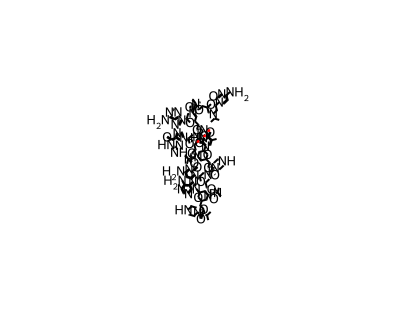 Cc1cn(C2CN(P(=O)(OCC3CN(P(=O)(OCC4CN(P(=O)(OCC5CN(C(C)C)CC(n6ccc(N)nc6=O)O5)N(C)C)CC(n5cnc6c(N)ncnc65)O4)N(C)C)CC(n4cnc5c(=O)[nH]c(N)nc54)O3)N(C)C)CC(COP(=O)(N3CCNCC3)N3CC(COP(=O)(N(C)C)N4CC(COP(=O)(C(C)C)N5CCNCC5)OC(n5cnc6c(N)ncnc65)C4)OC(n4ccc(N)nc4=O)C3)O2)c(=O)[nH]c1=O